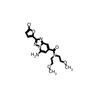 COCCN(CCOC)C(=O)c1cc(N)n2nc(-c3ccc(Cl)o3)nc2c1